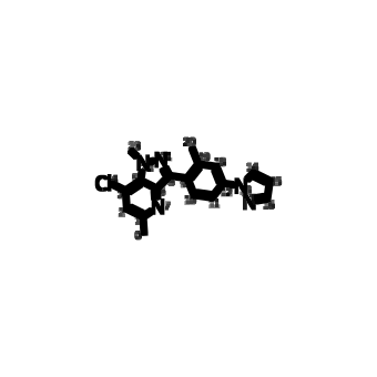 Cc1cc(Cl)c2c(n1)c(-c1ccc(-n3cccn3)cc1C)nn2C